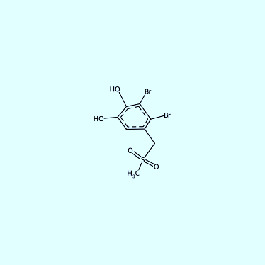 CS(=O)(=O)Cc1cc(O)c(O)c(Br)c1Br